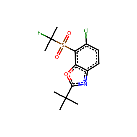 CC(C)(C)c1nc2ccc(Cl)c(S(=O)(=O)C(C)(C)F)c2o1